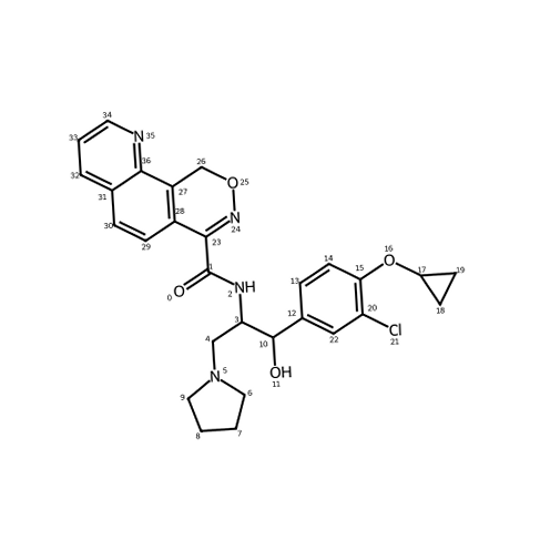 O=C(NC(CN1CCCC1)C(O)c1ccc(OC2CC2)c(Cl)c1)C1=NOCc2c1ccc1cccnc21